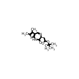 Cc1sc2c(c1C)C=N[C@@H](CC(=O)OC(C)(C)C)C(=O)N2